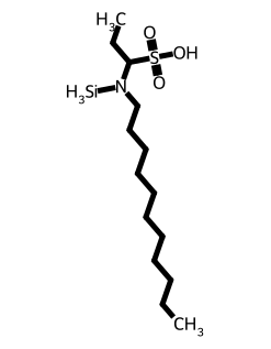 CCCCCCCCCCCN([SiH3])C(CC)S(=O)(=O)O